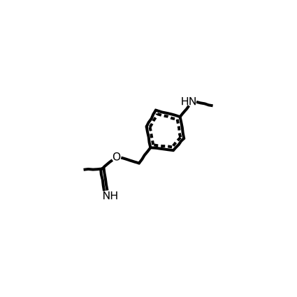 CNc1ccc(COC(C)=N)cc1